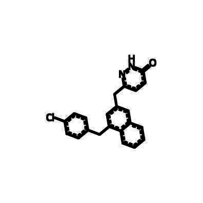 O=c1ccc(Cc2cc(Cc3ccc(Cl)cc3)c3ccccc3c2)n[nH]1